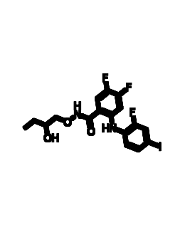 CCC(O)CONC(=O)c1cc(F)c(F)cc1Nc1ccc(I)cc1F